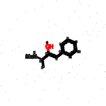 CN[C@@H](C)C(O)=Cc1ccccc1